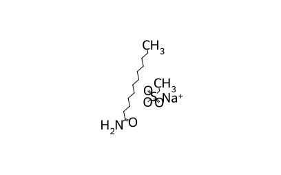 CCCCCCCCCCCC(N)=O.CCS(=O)(=O)[O-].[Na+]